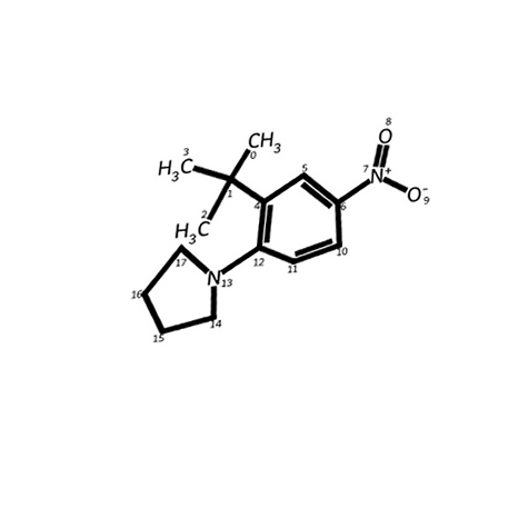 CC(C)(C)c1cc([N+](=O)[O-])ccc1N1CCCC1